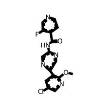 COc1ncc(Cl)cc1-c1cnc(NC(=O)c2ccncc2F)cn1